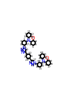 c1cc(N2c3ccccc3Oc3ccccc32)cc(-n2cc(-c3ccc(-c4cn(-c5cccc(N6c7ccccc7Oc7ccccc76)c5)nn4)cc3)nn2)c1